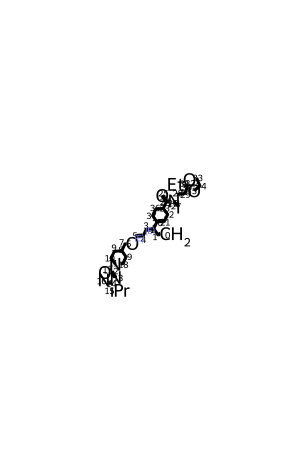 C=C/C(=C\C=C\OCC1CCN(c2nc(C(C)C)no2)CC1)C1=CCC(C(=O)N(I)CCC2(CC)OCCO2)CC1